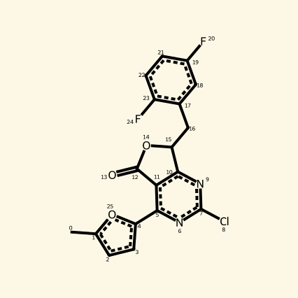 Cc1ccc(-c2nc(Cl)nc3c2C(=O)OC3Cc2cc(F)ccc2F)o1